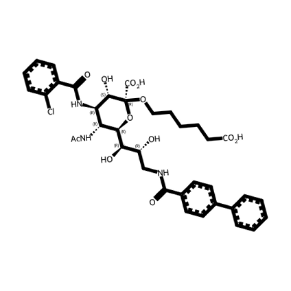 CC(=O)N[C@@H]1[C@@H](NC(=O)c2ccccc2Cl)[C@H](O)[C@](OCCCCCC(=O)O)(C(=O)O)O[C@H]1[C@H](O)[C@H](O)CNC(=O)c1ccc(-c2ccccc2)cc1